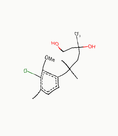 COc1c(C(C)(C)CC(O)(CO)C(F)(F)F)ccc(C)c1Cl